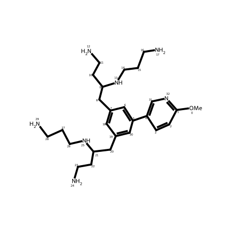 COc1ccc(-c2cc(CC(CCN)NCCCN)cc(CC(CCN)NCCCN)c2)cn1